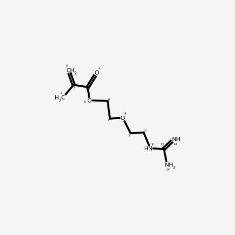 C=C(C)C(=O)OCCOCCNC(=N)N